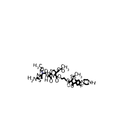 CO/N=C(\C(=O)N[C@@H]1C(=O)N2C(C(=O)OCCCOC(=O)c3c4n(c5cc(N6CCNCC6)c(F)cc5c3=O)C(C)S4)=C(COC(C)=O)CS[C@H]12)c1csc(N)n1